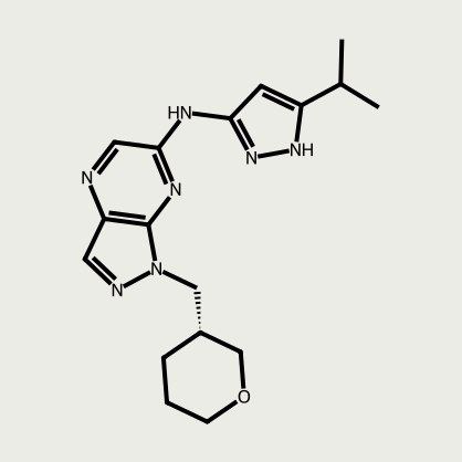 CC(C)c1cc(Nc2cnc3cnn(C[C@H]4CCCOC4)c3n2)n[nH]1